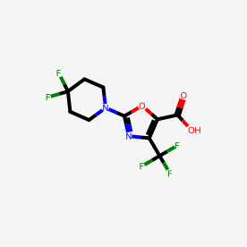 O=C(O)c1oc(N2CCC(F)(F)CC2)nc1C(F)(F)F